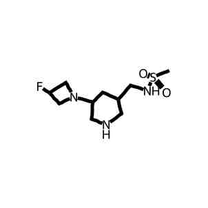 CS(=O)(=O)NCC1CNCC(N2CC(F)C2)C1